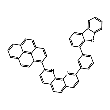 c1cc(-c2ccc3ccc4ccc(-c5ccc6ccc7cccc8ccc5c6c78)nc4c3n2)cc(-c2cccc3c2oc2ccccc23)c1